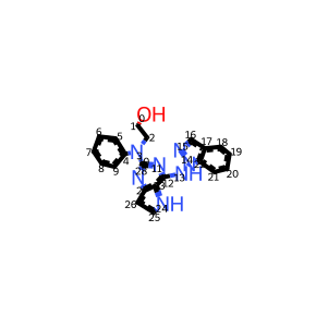 OCCN(c1ccccc1)c1nc(Nn2ncc3ccccc32)c2[nH]ccc2n1